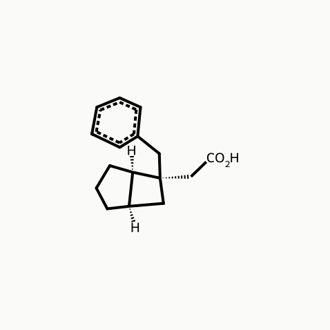 O=C(O)C[C@]1(Cc2ccccc2)C[C@H]2CCC[C@H]21